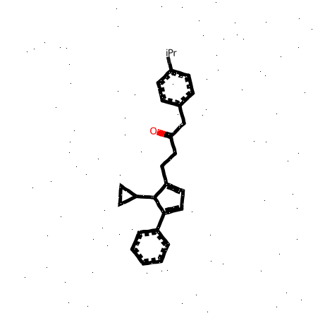 CC(C)c1ccc(CC(=O)CCC2=CC=C(c3ccccc3)C2C2CC2)cc1